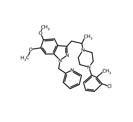 COc1cc2c(CC(C)N3CCN(c4cccc(Cl)c4C)CC3)nn(Cc3ccccn3)c2cc1OC